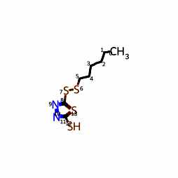 CCCCCCSSc1nnc(S)s1